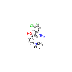 CN(C)c1cccc(C(O)C(CN)c2ccc(Cl)c(Cl)c2)c1